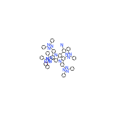 N#Cc1cccc(-c2ccc(-c3cc(-c4nc(-c5ccccc5)nc(-c5ccccc5)n4)ccc3-n3c4ccc(-c5nc(-c6ccccc6)nc(-c6ccccc6)n5)cc4c4cc(-c5nc(-c6ccccc6)nc(-c6ccccc6)n5)ccc43)c(-n3c4ccc(-c5nc(-c6ccccc6)nc(-c6ccccc6)n5)cc4c4cc(-c5nc(-c6ccccc6)nc(-c6ccccc6)n5)ccc43)c2)c1